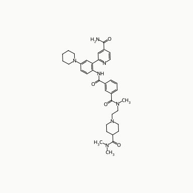 CN(C)C(=O)C1CCN(CCN(C)C(=O)c2cccc(C(=O)Nc3ccc(N4CCCCC4)cc3-c3cc(C(N)=O)ccn3)c2)CC1